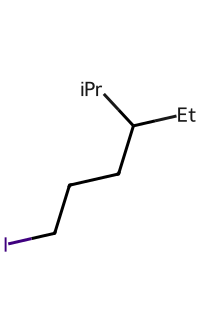 CCC(CCCI)C(C)C